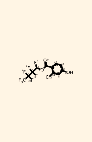 O=C(OC(F)C(F)(F)C(F)(F)C(F)(F)F)c1ccc(O)cc1Cl